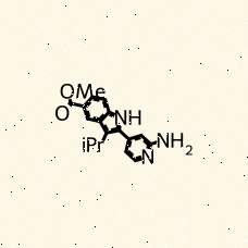 COC(=O)c1ccc2[nH]c(-c3ccnc(N)c3)c(C(C)C)c2c1